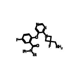 CCN(C(=O)c1cc(F)ccc1Oc1cncnc1N1CC(F)(CN)C1)C(C)C